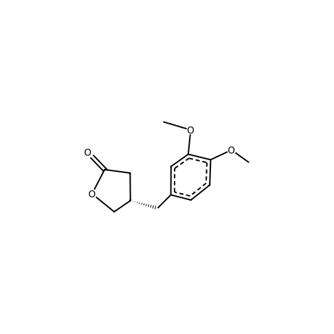 COc1ccc(C[C@@H]2COC(=O)C2)cc1OC